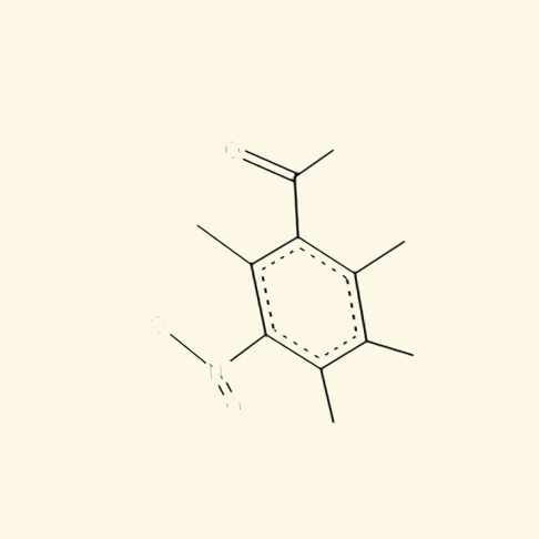 CC(=O)c1c(C)c(C)c(C)c([N+](=O)[O-])c1C